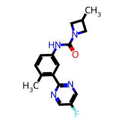 Cc1ccc(NC(=O)N2CC(C)C2)cc1-c1ncc(F)cn1